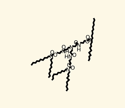 CCCCCCCCCCN(CCCCCCCCCC)C(=O)OCCCNC(=O)CCN(CCC(=O)NCCCOC(=O)N(CCCCCCCCCC)CCCCCCCCCC)CCC(=O)NCCCOC(=O)N(CCCCCCCCCC)CCCCCCCCCC